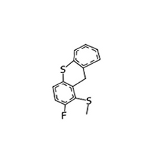 CSc1c(F)ccc2c1Cc1ccccc1S2